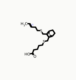 C/C=C/CCSCC1C2CCC(O2)C1CSCCCCC(=O)O